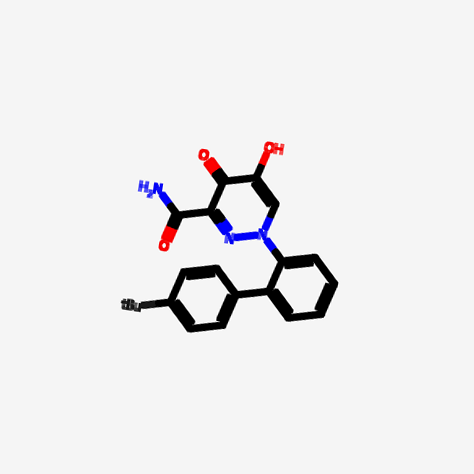 CC(C)(C)c1ccc(-c2ccccc2-n2cc(O)c(=O)c(C(N)=O)n2)cc1